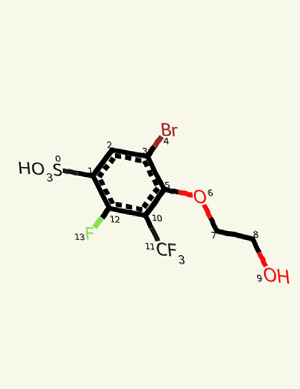 O=S(=O)(O)c1cc(Br)c(OCCO)c(C(F)(F)F)c1F